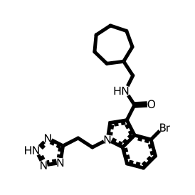 O=C(NCC1CCCCCC1)c1cn(CCc2nn[nH]n2)c2cccc(Br)c12